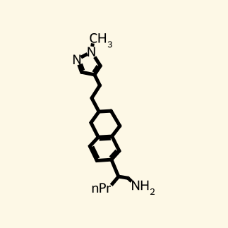 CCCC(CN)c1ccc2c(c1)CCC(CCc1cnn(C)c1)C2